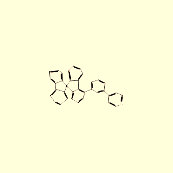 c1cc(-c2ccncc2)cc(-c2cccc3c2-c2ccccc2C32c3ccccc3-c3ccccc32)c1